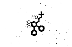 CC(C)(C)C[C@@H](O)Cc1cc2c(c(-c3ccccc3)c1-c1ccccc1)OCO2